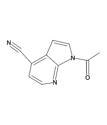 CC(=O)n1ccc2c(C#N)ccnc21